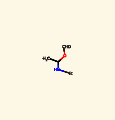 [CH2]C(NCC)OC=O